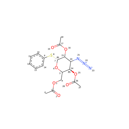 CC(=O)OCC1O[C@H](Sc2ccccc2)C(OC(C)=O)C(N=[N+]=[N-])[C@H]1OC(C)=O